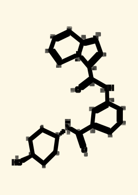 O=C(N[C@H]1CC[C@H](O)CC1)c1cccc(NC(=O)c2cnc3ccccn23)c1